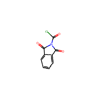 O=C(Cl)N1C(=O)c2ccccc2C1=O